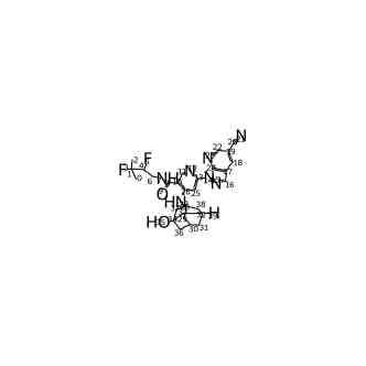 CC(C)(F)C(F)CNC(=O)c1cnc(-n2ncc3cc(C#N)cnc32)cc1NC12CC3C[C@H](CC(O)(C3)C1)C2